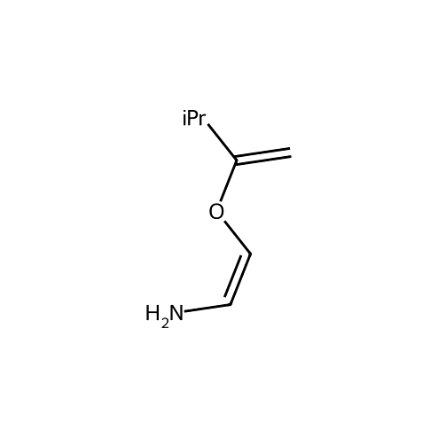 C=C(O/C=C\N)C(C)C